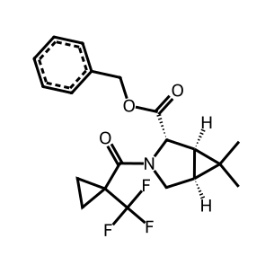 CC1(C)[C@@H]2[C@@H](C(=O)OCc3ccccc3)N(C(=O)C3(C(F)(F)F)CC3)C[C@@H]21